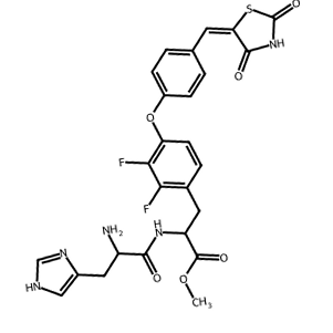 COC(=O)C(Cc1ccc(Oc2ccc(C=C3SC(=O)NC3=O)cc2)c(F)c1F)NC(=O)C(N)Cc1c[nH]cn1